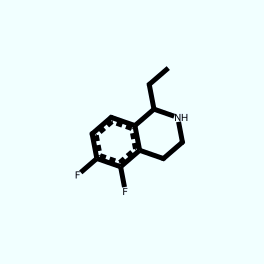 CCC1NCCc2c1ccc(F)c2F